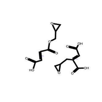 O=C(O)/C=C(\CC1CO1)C(=O)O.O=C(O)/C=C/C(=O)OCC1CO1